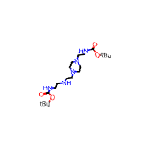 CC(C)(C)OC(=O)NCCNCCN1CCN(CCNC(=O)OC(C)(C)C)CC1